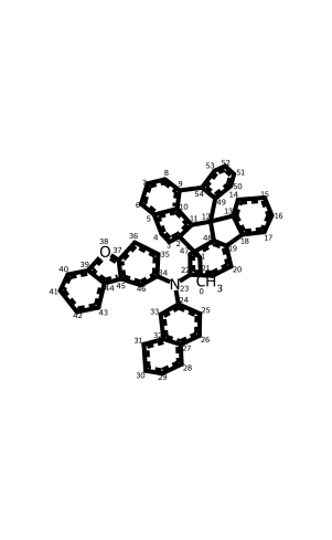 CCc1ccc2cccc3c2c1C1(c2ccccc2-c2ccc(N(c4ccc5ccccc5c4)c4ccc5oc6ccccc6c5c4)cc21)c1ccccc1-3